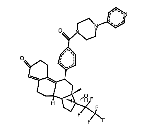 C[C@]12C[C@H](c3ccc(C(=O)N4CCN(c5ccncc5)CC4)cc3)C3=C4CCC(=O)C=C4CC[C@H]3[C@@H]1CC[C@]2(O)C(F)(F)C(F)(F)F